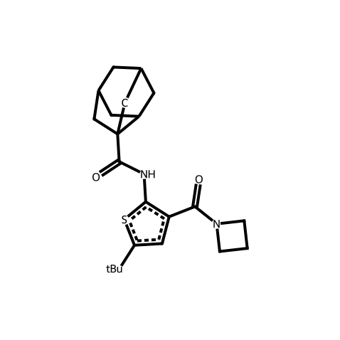 CC(C)(C)c1cc(C(=O)N2CCC2)c(NC(=O)C23CC4CC(CC2C4)C3)s1